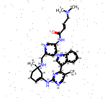 CN(C)C/C=C/C(=O)Nc1ccc(CN[C@@]2(C)CCC=C(Nc3ncc(C(F)(F)F)c(-c4c[nH]c5ccccc45)n3)C2)nc1